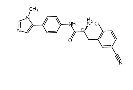 Cn1cncc1-c1ccc(NC(=O)[C@@H](N)Cc2cc(C#N)ccc2Cl)cc1